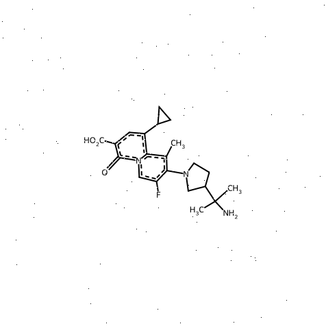 Cc1c(N2CCC(C(C)(C)N)C2)c(F)cn2c(=O)c(C(=O)O)cc(C3CC3)c12